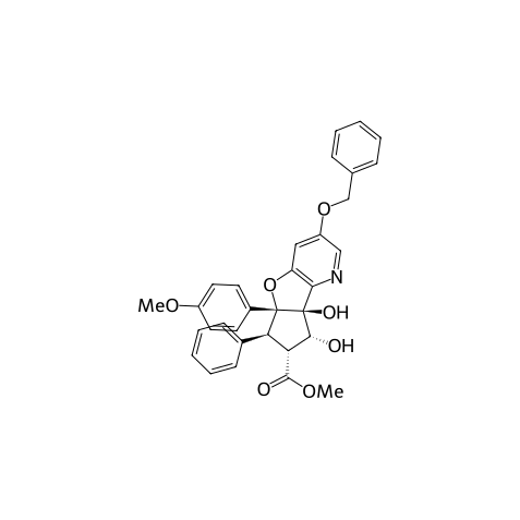 COC(=O)[C@H]1[C@@H](O)[C@@]2(O)c3ncc(OCc4ccccc4)cc3O[C@@]2(c2ccc(OC)cc2)[C@@H]1c1ccccc1